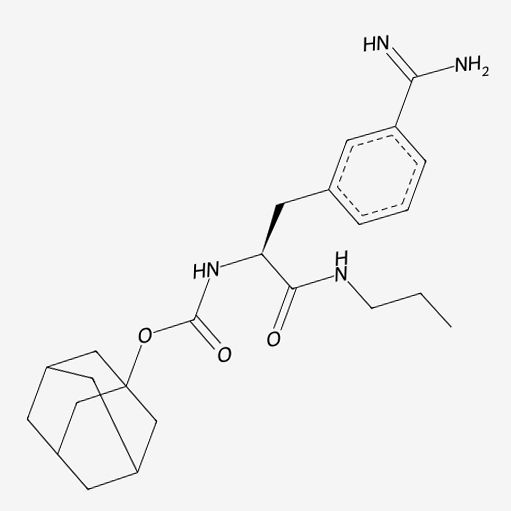 CCCNC(=O)[C@H](Cc1cccc(C(=N)N)c1)NC(=O)OC12CC3CC(CC(C3)C1)C2